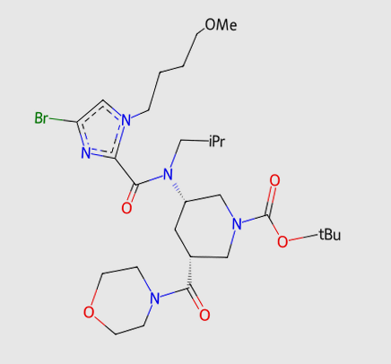 COCCCCn1cc(Br)nc1C(=O)N(CC(C)C)[C@H]1C[C@@H](C(=O)N2CCOCC2)CN(C(=O)OC(C)(C)C)C1